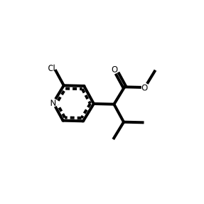 COC(=O)C(c1ccnc(Cl)c1)C(C)C